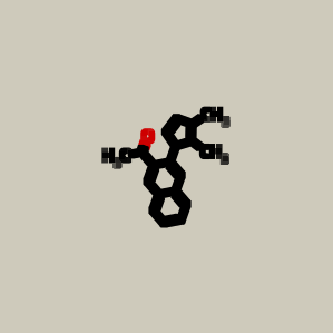 CC(=O)c1cc2ccccc2cc1C1C=CC(C)=C1C